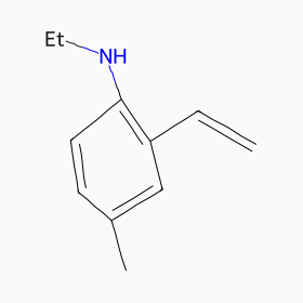 C=Cc1cc(C)ccc1NCC